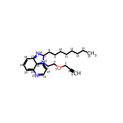 C#CCOCCN1C(CCCCCCCC)N=C2C=CC=C3N=CC=CC321